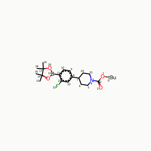 CC(C)(C)OC(=O)N1CCC(c2ccc(B3OC(C)(C)C(C)(C)O3)c(F)c2)CC1